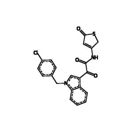 O=C1C=C(NC(=O)C(=O)c2cn(Cc3ccc(Cl)cc3)c3ccccc23)CS1